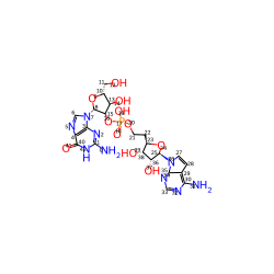 Nc1nc2c(ncn2[C@@H]2O[C@H](CO)[C@@H](O)[C@H]2OP(=O)(O)OCC[C@H]2O[C@@H](n3ccc4c(N)ncnc43)[C@H](O)[C@@H]2O)c(=O)[nH]1